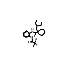 CCC(CC)CC1(C(=O)Nc2ccccc2SC(=O)C(F)(F)F)CCCCC1